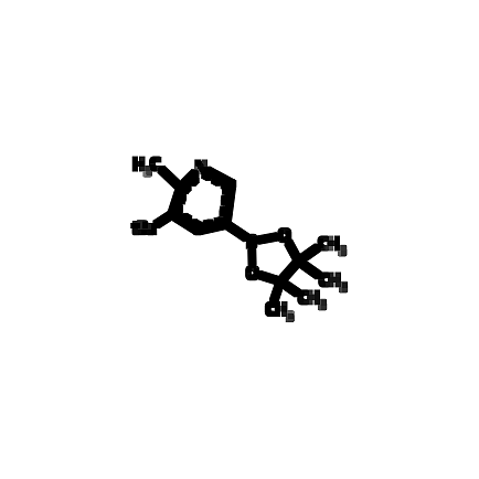 Cc1ncc(B2OC(C)(C)C(C)(C)O2)cc1C(C)(C)C